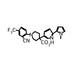 Cn1cccc1-c1ccc(C2(C(=O)O)CCN(c3ccc(C(F)(F)F)cc3C#N)CC2)cn1